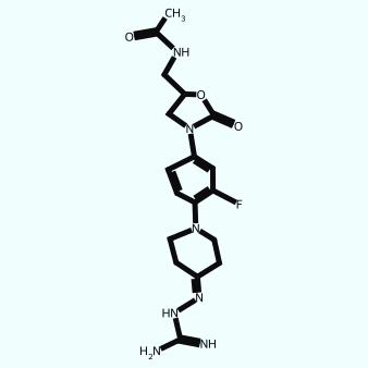 CC(=O)NCC1CN(c2ccc(N3CCC(=NNC(=N)N)CC3)c(F)c2)C(=O)O1